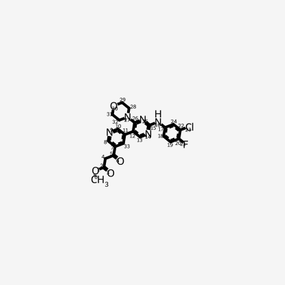 COC(=O)CC(=O)c1cncc(-c2cnc(Nc3ccc(F)c(Cl)c3)nc2N2CCOCC2)c1